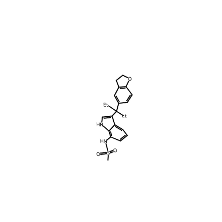 CCC(CC)(c1ccc2c(c1)CCO2)c1c[nH]c2c(NS(C)(=O)=O)cccc12